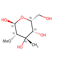 CO[C@@H]1[C@@H](O)O[C@H](CO)[C@H](O)[C@]1(C)O